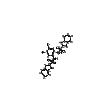 O=S(=O)(Nc1cc(F)c(F)cc1NS(=O)(=O)c1cc2ccccc2s1)c1cc2ccccc2s1